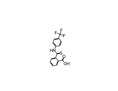 O=C(O)c1ccccc1C(=S)Nc1ccc(C(F)(F)F)cc1